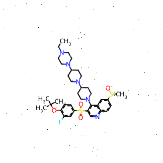 CCN1CCN(C2CCN(C3CCN(c4c(S(=O)(=O)c5ccc(OC(C)(C)C)c(F)c5)cnc5ccc([S+](C)[O-])cc45)CC3)CC2)CC1